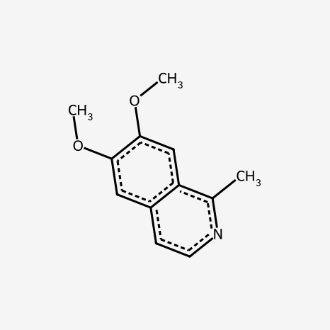 COc1cc2ccnc(C)c2cc1OC